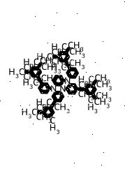 Cc1cc(C(C)(C)C)cc(C(C)(C)c2ccc3c(c2)N(c2cccc(C(C)(C)c4cc(C(C)(C)C)cc(C(C)(C)C)c4)c2)c2cccc4c2N3c2ccc(C(C)(C)c3cc(C(C)(C)C)cc(C(C)(C)C)c3)cc2N4c2cccc(C(C)(C)c3cc(C(C)(C)C)cc(C(C)(C)C)c3)c2)c1